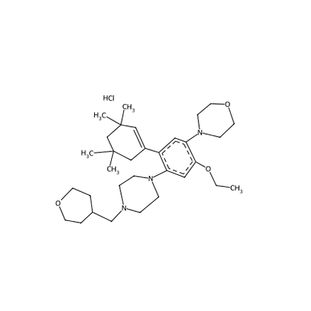 CCOc1cc(N2CCN(CC3CCOCC3)CC2)c(C2=CC(C)(C)CC(C)(C)C2)cc1N1CCOCC1.Cl